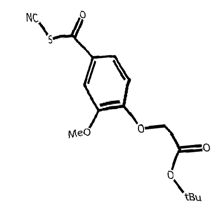 COc1cc(C(=O)SC#N)ccc1OCC(=O)OC(C)(C)C